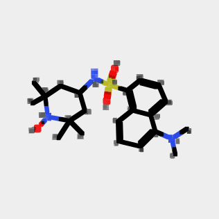 CN(C)c1cccc2c(S(=O)(=O)NC3CC(C)(C)N([O])C(C)(C)C3)cccc12